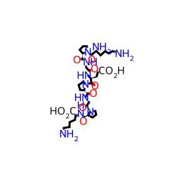 NCCCC[C@H](NC(=O)[C@@H]1CCCN1C(=O)CNC(=O)[C@@H]1CCCN1C(=O)[C@H](CCC(=O)O)NC(=O)CNC(=O)[C@@H]1CCCN1C(=O)[C@@H](N)CCCCN)C(=O)O